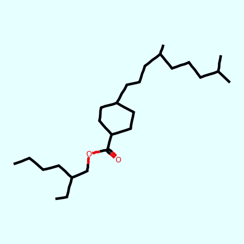 CCCCC(CC)COC(=O)C1CCC(CCCC(C)CCCC(C)C)CC1